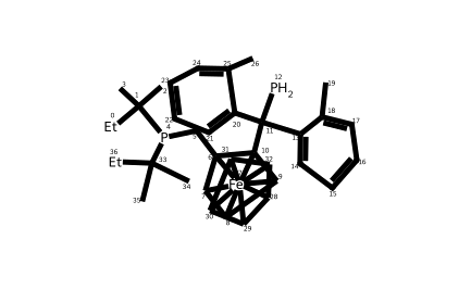 CCC(C)(C)P(C[C]12[CH]3[CH]4[CH]5[C]1(C(P)(c1ccccc1C)c1ccccc1C)[Fe]43521678[CH]2[CH]1[CH]6[CH]7[CH]28)C(C)(C)CC